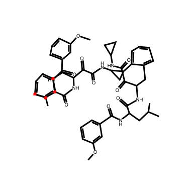 COc1cccc(C(=O)NC(CC(C)C)C(=O)NC(Cc2ccccc2C2CC2NC(=O)C(=O)C(Cc2ccccc2)NC(=O)C(NC(=O)c2cccc(OC)c2)C(C)C)C(=O)C(=O)NC2CC2)c1